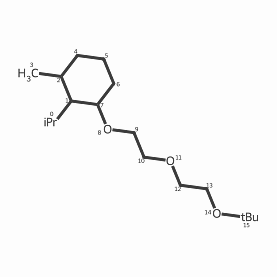 CC(C)C1C(C)CCCC1OCCOCCOC(C)(C)C